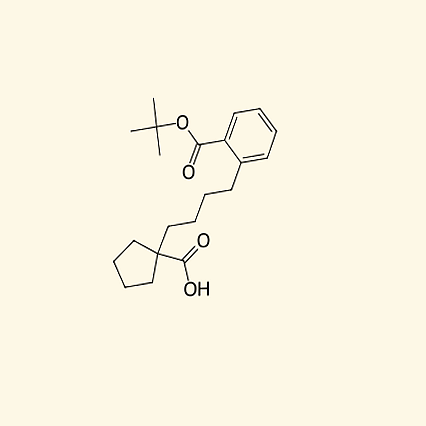 CC(C)(C)OC(=O)c1ccccc1CCCCC1(C(=O)O)CCCC1